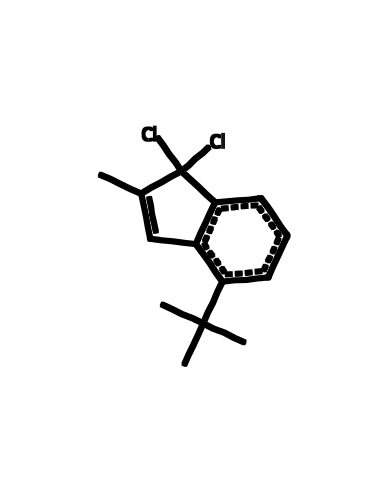 CC1=Cc2c(C(C)(C)C)cccc2C1(Cl)Cl